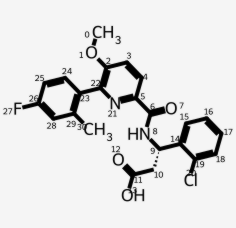 COc1ccc(C(=O)N[C@@H](CC(=O)O)c2ccccc2Cl)nc1-c1ccc(F)cc1C